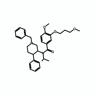 COCCCOc1cc(C(=O)N(C(C)C)C2CN(Cc3ccccc3)CCC2c2ccccc2)ccc1OC